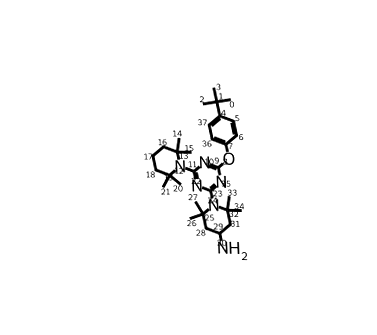 CC(C)(C)c1ccc(Oc2nc(N3C(C)(C)CCCC3(C)C)nc(N3C(C)(C)CC(N)CC3(C)C)n2)cc1